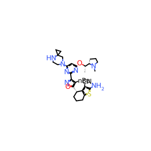 CCCCc1c(-c2nc(O[C@@H](C)[C@@H]3CCCN3C)cc(N3CCNC4(CC4)C3)n2)noc1[C@H]1CCCc2sc(N)c(C#N)c21